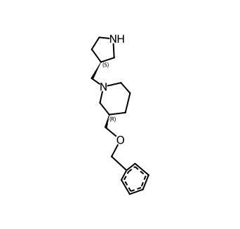 c1ccc(COC[C@@H]2CCCN(C[C@H]3CCNC3)C2)cc1